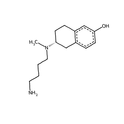 CN(CCCCN)[C@@H]1CCc2cc(O)ccc2C1